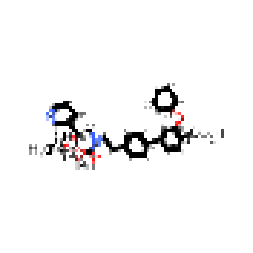 CC(C)(C)OC(=O)N(CCc1ccc(-c2ccc(C(=O)O)c(OC3CCCCC3)c2)cc1)C[C@@H](O[Si](C)(C)C(C)(C)C)c1cccnc1